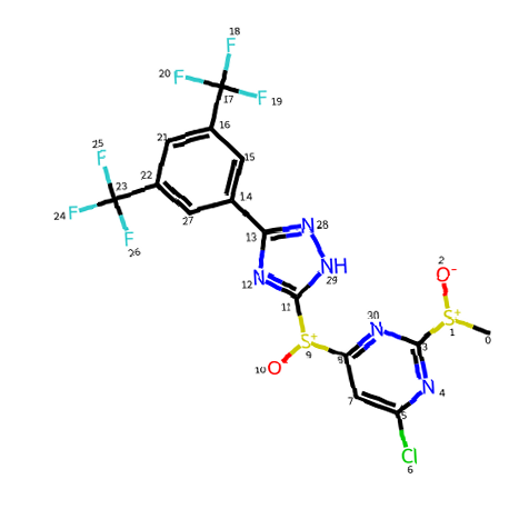 C[S+]([O-])c1nc(Cl)cc([S+]([O-])c2nc(-c3cc(C(F)(F)F)cc(C(F)(F)F)c3)n[nH]2)n1